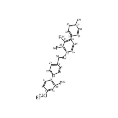 CCOc1ccc(-c2ccc(COc3ccc(-c4ccc(C)cc4)c(F)c3F)cc2)c(F)c1